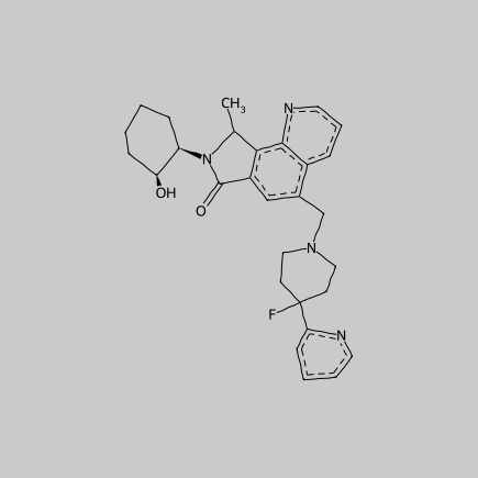 CC1c2c(cc(CN3CCC(F)(c4ccccn4)CC3)c3cccnc23)C(=O)N1[C@@H]1CCCC[C@@H]1O